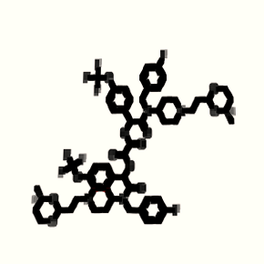 C[C@@H]1CCOC(CCN2CCC(N(Cc3ccc(F)cc3)C(=O)C(OC(=O)C(=O)OC(C(=O)N(Cc3ccc(F)cc3)C3CCN(CCC4OCC[C@@H](C)O4)CC3)c3ccc(OC(F)(F)F)cc3)c3ccc(OC(F)(F)F)cc3)CC2)O1